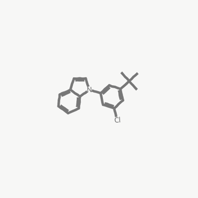 CC(C)(C)c1cc(Cl)cc(-n2ccc3ccccc32)c1